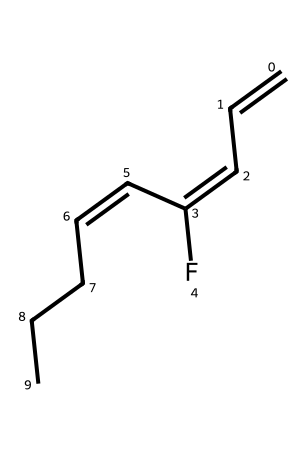 C=C/C=C(F)\C=C/CCC